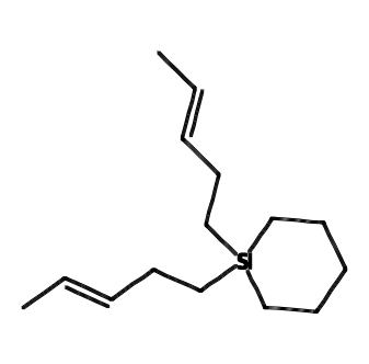 C/C=C/CC[Si]1(CC/C=C/C)CCCCC1